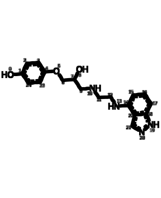 Oc1ccc(OCC(O)CNCCNc2cccc3[nH]ncc23)cc1